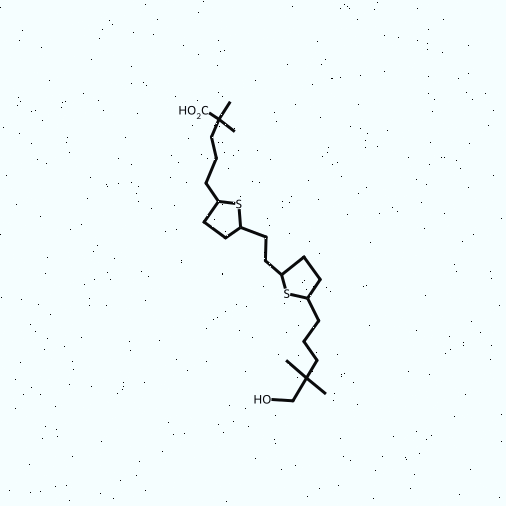 CC(C)(CO)CCCC1CCC(CCC2CCC(CCCC(C)(C)C(=O)O)S2)S1